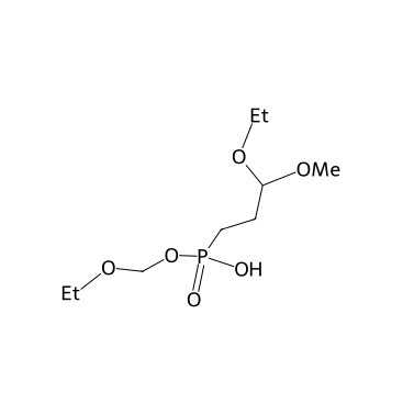 CCOCOP(=O)(O)CCC(OC)OCC